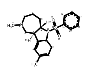 CC1=CCC2C(=C1)[C@H]1CN(C)CCC[C@@H]1N2S(=O)(=O)c1ccccc1